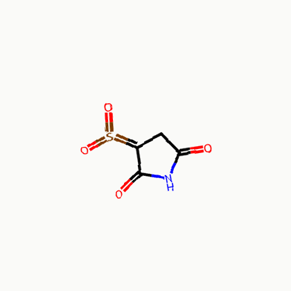 O=C1CC(=S(=O)=O)C(=O)N1